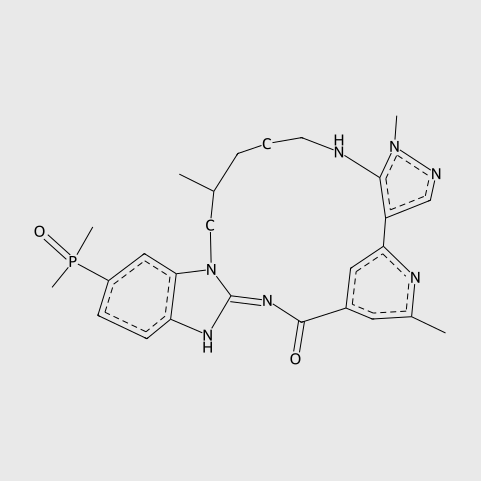 Cc1cc2cc(n1)-c1cnn(C)c1NCCCC(C)CN1/C(=N/C2=O)Nc2ccc(P(C)(C)=O)cc21